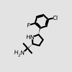 CC(C)(N)[C@H]1CC[C@@H](c2cc(Cl)ccc2F)N1